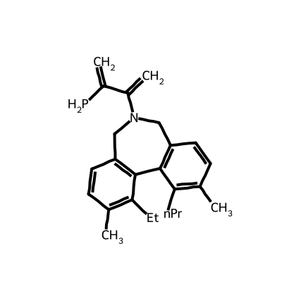 C=C(P)C(=C)N1Cc2ccc(C)c(CC)c2-c2c(ccc(C)c2CCC)C1